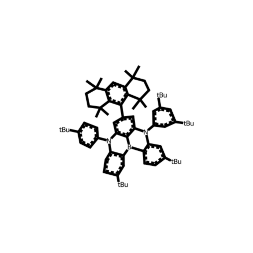 CC(C)(C)c1ccc(N2c3ccc(C(C)(C)C)cc3B3c4ccc(C(C)(C)C)cc4N(c4cc(C(C)(C)C)cc(C(C)(C)C)c4)c4cc(-c5c6c(cc7c5C(C)(C)CCC7(C)C)C(C)(C)CCC6(C)C)cc2c43)cc1